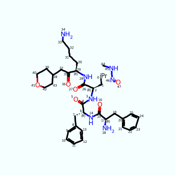 CC(C)C[C@@H](NC(=O)[C@@H](Cc1ccccc1)NC(=O)[C@H](N)Cc1ccccc1)C(=O)N[C@H](CCCCN)C(=O)CC1CCOCC1.CNN=O